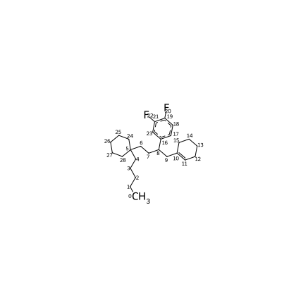 CCCCCC1(CCC(CC2=CCCCC2)c2ccc(F)c(F)c2)CCCCC1